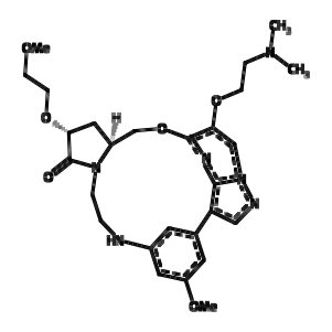 COCCO[C@@H]1C[C@H]2COc3nc4c(cnn4cc3OCCN(C)C)-c3cc(cc(OC)c3)NCCN2C1=O